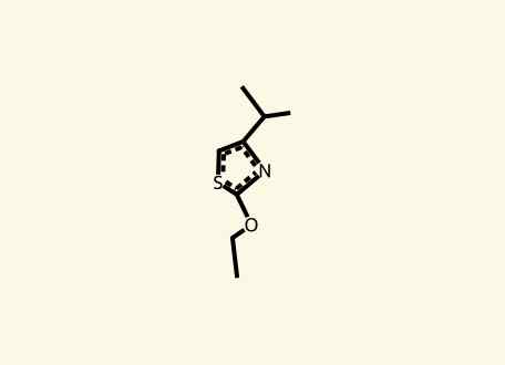 CCOc1nc(C(C)C)cs1